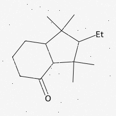 CCC1C(C)(C)C2CCCC(=O)C2C1(C)C